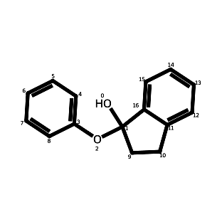 OC1(Oc2ccccc2)CCc2ccccc21